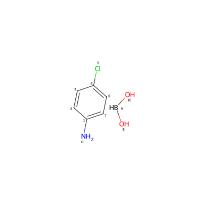 Nc1ccc(Cl)cc1.OBO